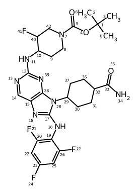 CC(C)(C)OC(=O)N1CCC(Nc2ncc3nc(Nc4c(F)cc(F)cc4F)n(C4CCC(C(N)=O)CC4)c3n2)C(F)C1